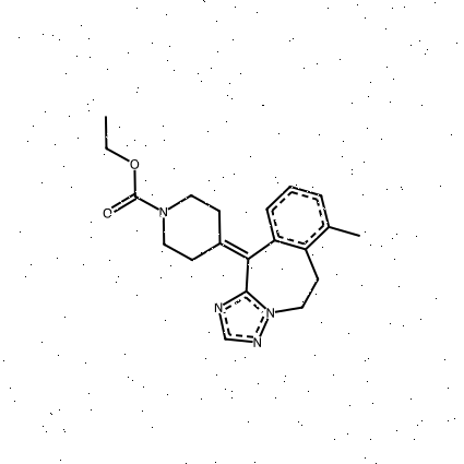 CCOC(=O)N1CCC(=C2c3cccc(C)c3CCn3ncnc32)CC1